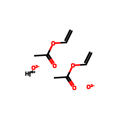 C=COC(C)=O.C=COC(C)=O.[Hf+4].[O-2].[O-2]